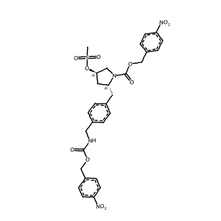 CS(=O)(=O)O[C@@H]1C[C@@H](Cc2ccc(CNC(=O)OCc3ccc([N+](=O)[O-])cc3)cc2)N(C(=O)OCc2ccc([N+](=O)[O-])cc2)C1